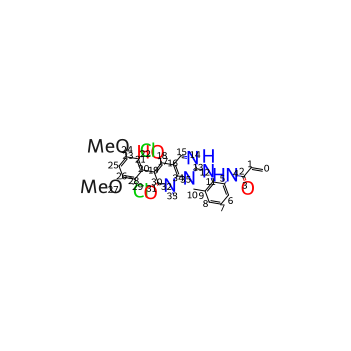 C=CC(=O)Nc1cccc(C)c1Nc1ncc2c(O)c(-c3c(Cl)c(OC)cc(OC)c3Cl)c(=O)n(C)c2n1